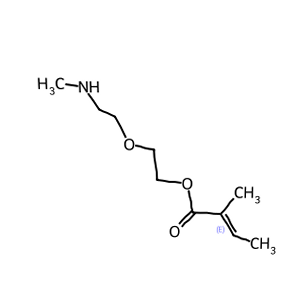 C/C=C(\C)C(=O)OCCOCCNC